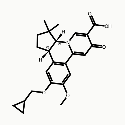 COc1cc2c(cc1OCC1CC1)[C@@H]1CCC(C)(C)[C@@H]1n1cc(C(=O)O)c(=O)cc1-2